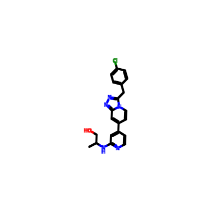 CC(CO)Nc1cc(-c2ccn3c(Cc4ccc(Cl)cc4)nnc3c2)ccn1